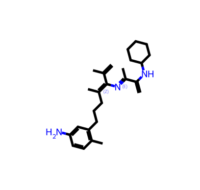 C=C(C)C(/N=C(\C)C(=C)NC1CCCCC1)=C(\C)CCCc1cc(N)ccc1C